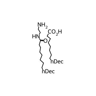 CCCCCCCCCCCCCCCCCC(=O)NCCN.CCCCCCCCCCCCCCCCCC(=O)O